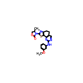 COc1cccc(Nc2ncc3c(n2)-c2sc(N4C(=O)OCC4C)nc2CC3)c1